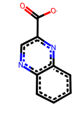 [O]C(=O)c1cnc2ccccc2n1